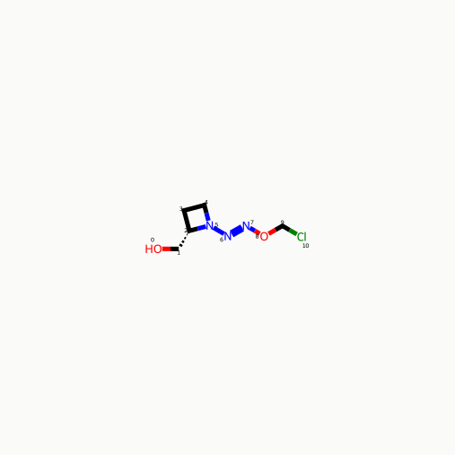 OC[C@@H]1CCN1/N=N/OCCl